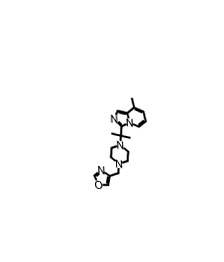 Cc1cccn2c(C(C)(C)N3CCN(Cc4cocn4)CC3)ncc12